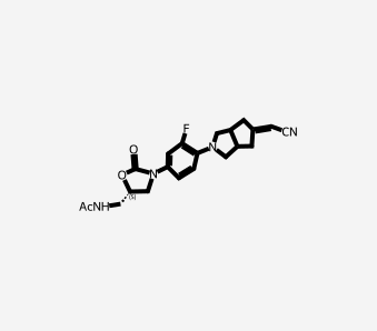 CC(=O)NC[C@H]1CN(c2ccc(N3CC4CC(=CC#N)CC4C3)c(F)c2)C(=O)O1